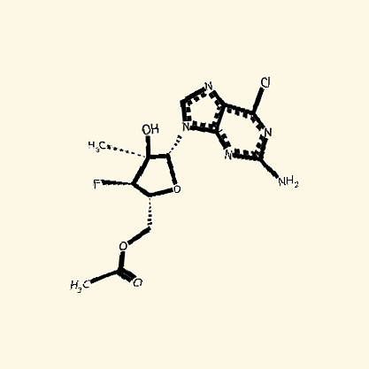 CC(=O)OC[C@H]1O[C@@H](n2cnc3c(Cl)nc(N)nc32)[C@](C)(O)[C@@H]1F